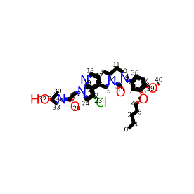 CCCCCOc1cc(N2CCC(C)N(Cc3ccnc4c3c(Cl)cn4CC(=O)N3CC(O)C3)C2=O)ccc1OC